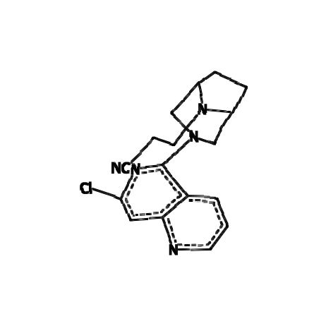 N#CCCN1C2CCC1CN(c1nc(Cl)cc3ncccc13)C2